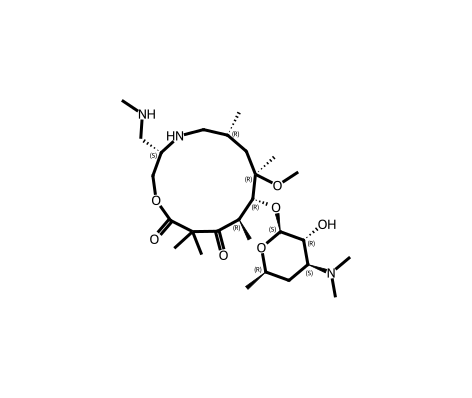 CNC[C@H]1COC(=O)C(C)(C)C(=O)[C@H](C)[C@@H](O[C@@H]2O[C@H](C)C[C@H](N(C)C)[C@H]2O)[C@](C)(OC)C[C@@H](C)CN1